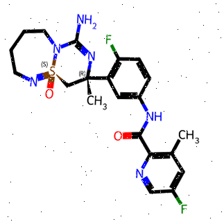 Cc1cc(F)cnc1C(=O)Nc1ccc(F)c([C@]2(C)C[S@@]3(=O)=NCCCCN3C(N)=N2)c1